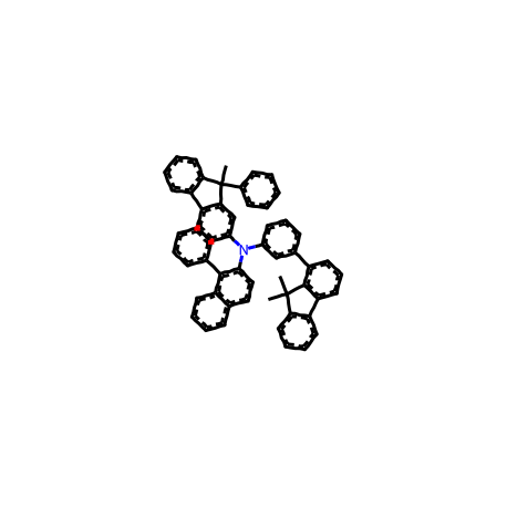 CC1(C)c2ccccc2-c2cccc(-c3cccc(N(c4ccc5c(c4)C(C)(c4ccccc4)c4ccccc4-5)c4ccc5ccccc5c4-c4ccccc4)c3)c21